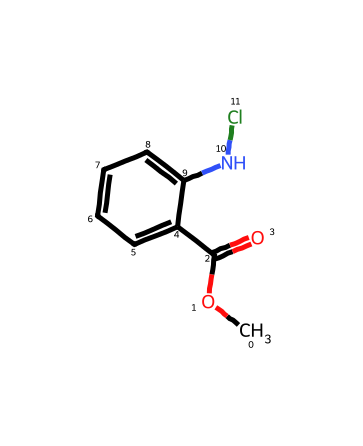 COC(=O)c1ccccc1NCl